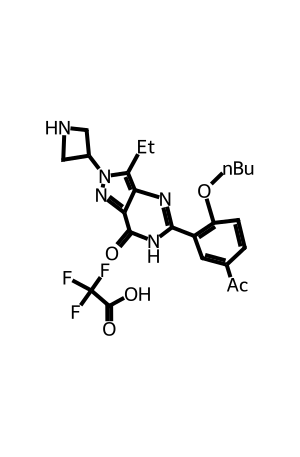 CCCCOc1ccc(C(C)=O)cc1-c1nc2c(CC)n(C3CNC3)nc2c(=O)[nH]1.O=C(O)C(F)(F)F